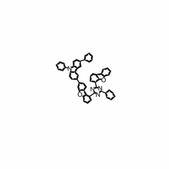 c1ccc(-c2ccc3c(c2)c2cc(-c4ccc5c(c4)oc4cccc(-c6nc(-c7ccccc7)nc(-c7cccc8c7oc7ccccc78)n6)c45)ccc2n3-c2ccccc2)cc1